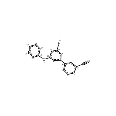 N#Cc1cccc(-c2cc(F)cc(Oc3cccnc3)c2)c1